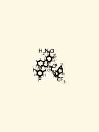 NC(=O)c1cc(C2C=CC=NC2[C@H](Cc2cc(F)cc(F)c2)NC(=O)Cn2nc(C(F)(F)F)c3c2C2CC2C3)ccc1F